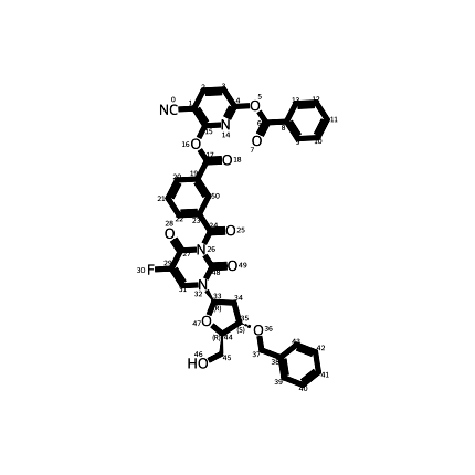 N#Cc1ccc(OC(=O)c2ccccc2)nc1OC(=O)c1cccc(C(=O)n2c(=O)c(F)cn([C@H]3C[C@H](OCc4ccccc4)[C@@H](CO)O3)c2=O)c1